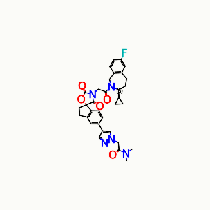 CN(C)C(=O)Cn1cc(-c2ccc3c(c2)CCC32OC(=O)N(CC(=O)N3Cc4ccc(F)cc4CC[C@H]3C3CC3)C2=O)cn1